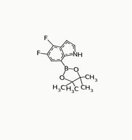 CC1(C)OB(c2cc(F)c(F)c3cc[nH]c23)OC1(C)C